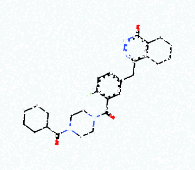 O=C(c1cc(Cc2n[nH]c(=O)c3c2CCCC3)ccc1F)N1CCN(C(=O)C2CCCCC2)CC1